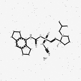 CC(C)CN1CCC[C@@]1(C)/C=C/S(=O)(=NC#N)[N-]C(=O)Nc1c2c(cc3c1CCC3)CCC2.[Na+]